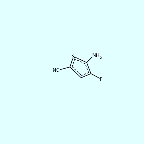 N#Cc1cc(F)c(N)s1